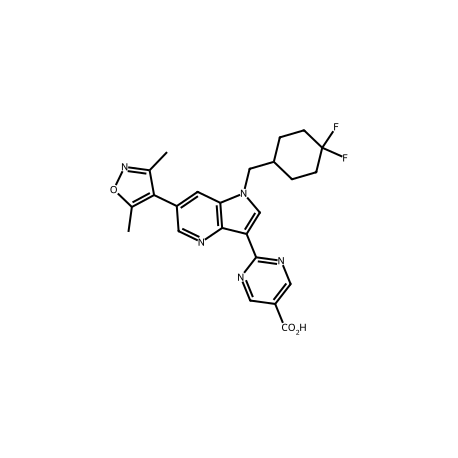 Cc1noc(C)c1-c1cnc2c(-c3ncc(C(=O)O)cn3)cn(CC3CCC(F)(F)CC3)c2c1